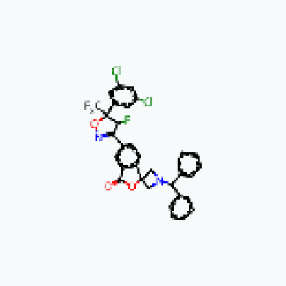 O=C1OC2(CN(C(c3ccccc3)c3ccccc3)C2)c2ccc(C3=NOC(c4cc(Cl)cc(Cl)c4)(C(F)(F)F)C3F)cc21